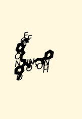 COc1ccc2nc(-c3cc4cc(OC(F)(F)F)ccc4o3)cc(C(=O)N[C@@H](CO)Cc3c[nH]c4ccccc34)c2c1